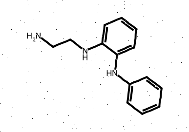 NCCNc1ccccc1Nc1ccccc1